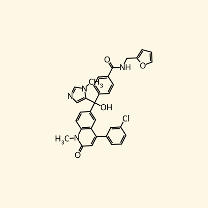 Cn1cncc1C(O)(c1ccc(C(=O)NCc2ccco2)cc1)c1ccc2c(c1)c(-c1cccc(Cl)c1)cc(=O)n2C